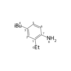 CCc1cc(C(C)CC)ccc1N